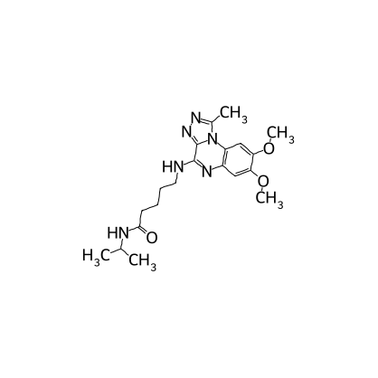 COc1cc2nc(NCCCCC(=O)NC(C)C)c3nnc(C)n3c2cc1OC